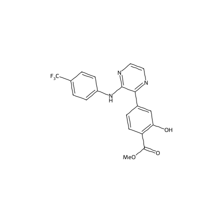 COC(=O)c1ccc(-c2nccnc2Nc2ccc(C(F)(F)F)cc2)cc1O